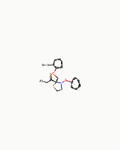 COc1ccccc1OCC1(C(=S)CC(C)=O)SCCN1Oc1ccccc1